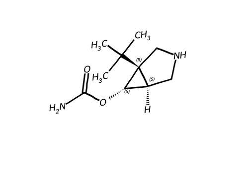 CC(C)(C)[C@@]12CNC[C@H]1[C@@H]2OC(N)=O